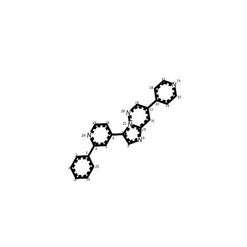 c1ccc(-c2cc(-c3cnc4cc(-c5ccncc5)cnn34)ccn2)cc1